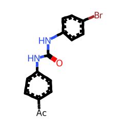 CC(=O)c1ccc(NC(=O)Nc2ccc(Br)cc2)cc1